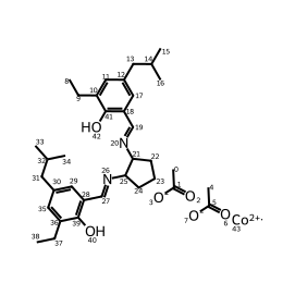 CC(=O)[O-].CC(=O)[O-].CCc1cc(CC(C)C)cc(C=NC2CCCC2N=Cc2cc(CC(C)C)cc(CC)c2O)c1O.[Co+2]